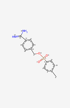 Cc1ccc(S(=O)(=O)OCc2ccc(C(=N)N)cc2)cc1